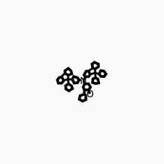 c1ccc(C2(c3ccc(N(c4ccc5c(c4)C(c4ccccc4)(c4ccccc4)c4ccccc4-5)c4ccc5oc6ccccc6c5c4)cc3)c3ccccc3-c3ccccc32)cc1